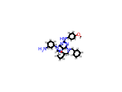 COc1ccc(Nc2nc(N(Cc3ccccc3)Cc3ccccc3)c3ncn(-c4cccc(N)c4)c3n2)cc1